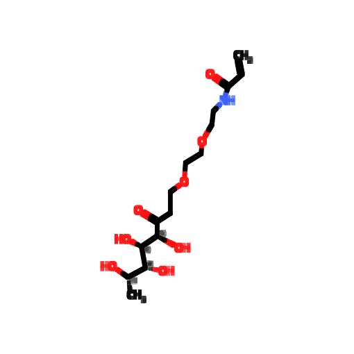 C=CC(=O)NCCOCCOCCC(=O)[C@@H](O)[C@H](O)[C@H](O)[C@H](C)O